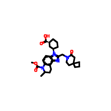 COC(=O)N1c2ccc3c(nc(CN4CCC5(CCC5)CC4=O)n3[C@@H]3CCC[C@@H](C(=O)O)C3)c2CCC1C